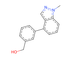 Cn1ncc2c(-c3cccc(CO)c3)cccc21